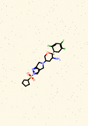 NC1CC(N2Cc3cn(S(=O)(=O)C4CCCC4)nc3C2)CO[C@@H]1C1CC(F)=C(F)C=C1F